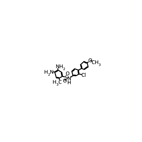 COc1ccc(-c2ccc(NS(=O)(=O)c3cc(N)c(N)cc3C)cc2Cl)cc1